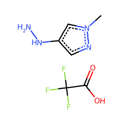 Cn1cc(NN)cn1.O=C(O)C(F)(F)F